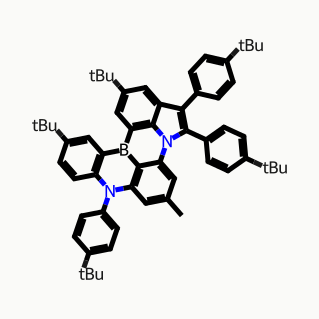 Cc1cc2c3c(c1)-n1c(-c4ccc(C(C)(C)C)cc4)c(-c4ccc(C(C)(C)C)cc4)c4cc(C(C)(C)C)cc(c41)B3c1cc(C(C)(C)C)ccc1N2c1ccc(C(C)(C)C)cc1